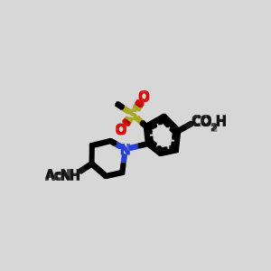 CC(=O)NC1CCN(c2ccc(C(=O)O)cc2S(C)(=O)=O)CC1